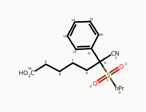 CCCS(=O)(=O)C(C#N)(CCCCC(=O)O)c1ccccc1